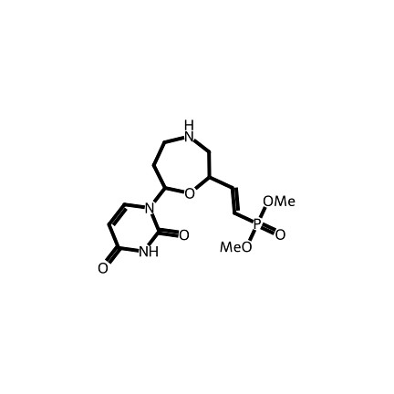 COP(=O)(/C=C/C1CNCCC(n2ccc(=O)[nH]c2=O)O1)OC